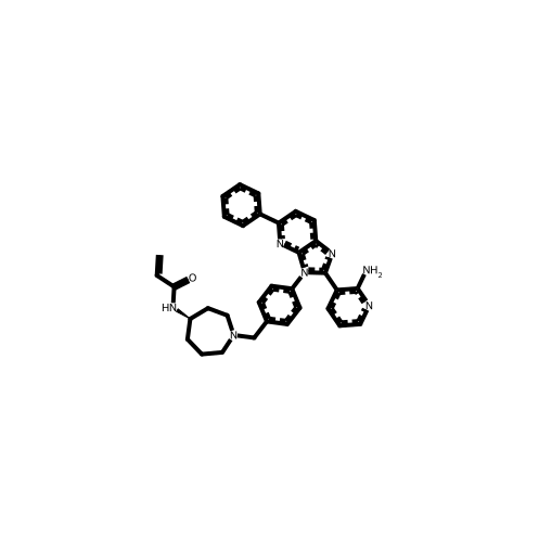 C=CC(=O)N[C@@H]1CCCN(Cc2ccc(-n3c(-c4cccnc4N)nc4ccc(-c5ccccc5)nc43)cc2)CC1